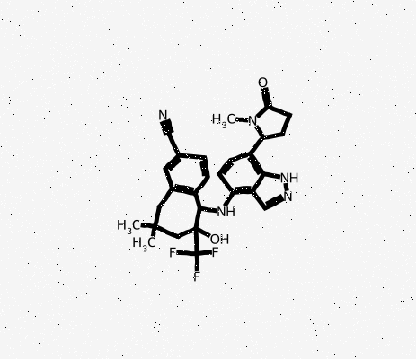 CN1C(=O)CCC1c1ccc(NC2c3ccc(C#N)cc3CC(C)(C)CC2(O)C(F)(F)F)c2cn[nH]c12